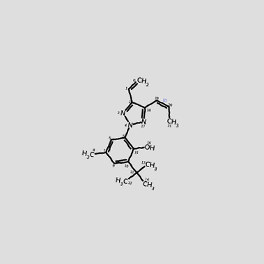 C=Cc1nn(-c2cc(C)cc(C(C)(C)C)c2O)nc1/C=C\C